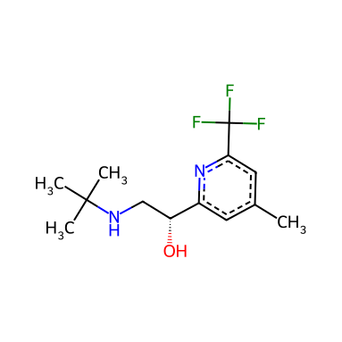 Cc1cc([C@H](O)CNC(C)(C)C)nc(C(F)(F)F)c1